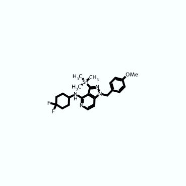 COc1ccc(Cn2n[c]([Sn]([CH3])([CH3])[CH3])c3c(NC4CCC(F)(F)CC4)nccc32)cc1